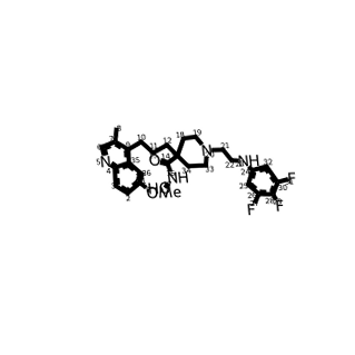 COc1ccc2ncc(C)c(CCCC3(C(=O)NO)CCN(CCNc4cc(F)c(F)c(F)c4)CC3)c2c1